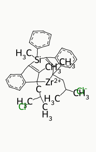 CC1=C2c3ccccc3[C]1(CC(C)C)[Zr+2][C]1(CC(C)C)C(C)=C(c3ccccc31)[Si]2(C)c1ccccc1.[Cl-].[Cl-]